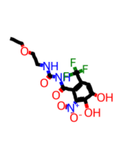 CCOCCNC(=O)NC(=O)c1c(C(F)(F)F)cc(O)c(O)c1[N+](=O)[O-]